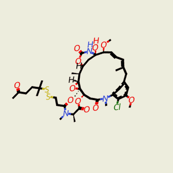 COc1cc2cc(c1Cl)N(C)C(=O)C[C@@H](OC(=O)[C@@H](C)N(C)C(=O)CCSSC(C)(C)CCC(C)=O)[C@@]1(C)O[C@@H]1[C@@H](C)[C@H]1C[C@](O)(NC(=O)O1)[C@@H](OC)/C=C/C=C(\C)C2